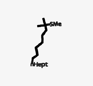 CCCCCCCCCCCCCC(C)(C)SC